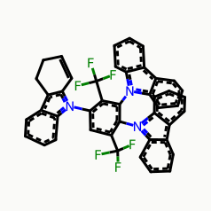 FC(F)(F)c1cc(-n2c3c(c4ccccc42)CCC=C3)c(C(F)(F)F)c(-n2c3ccccc3c3ccccc32)c1-n1c2ccccc2c2ccccc21